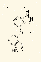 c1cc(Oc2cccc3[nH]ncc23)c2cn[nH]c2c1